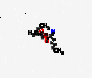 CCCCC=C(C#N)C(=O)OCC(CC)OCC